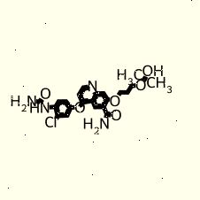 CC(C)(O)OCCCOc1cc2nccc(Oc3ccc(NC(N)=O)c(Cl)c3)c2cc1C(N)=O